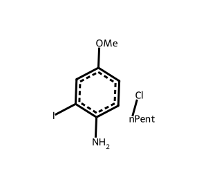 CCCCCCl.COc1ccc(N)c(I)c1